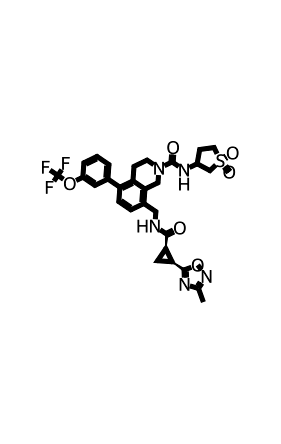 Cc1noc([C@H]2C[C@H]2C(=O)NCc2ccc(-c3cccc(OC(F)(F)F)c3)c3c2CN(C(=O)NC2CCS(=O)(=O)C2)CC3)n1